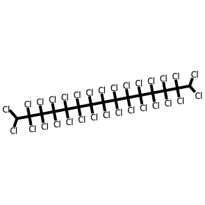 Cl[C](Cl)C(Cl)(Cl)C(Cl)(Cl)C(Cl)(Cl)C(Cl)(Cl)C(Cl)(Cl)C(Cl)(Cl)C(Cl)(Cl)C(Cl)(Cl)C(Cl)(Cl)C(Cl)(Cl)C(Cl)(Cl)C(Cl)(Cl)C(Cl)(Cl)[C](Cl)Cl